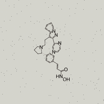 O=C(/C=C/c1ccc([C@@H]2CCCN2CCc2c(-c3cnccn3)nn3ccccc23)cc1)NO